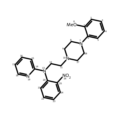 COc1ccccc1N1CCN(CCN(c2ccccn2)c2ccccc2[N+](=O)[O-])CC1